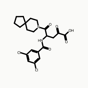 O=C(O)C(=O)CC(NC(=O)c1cc(Cl)cc(Cl)c1)C(=O)N1CCC2(CCCC2)CC1